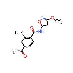 COC1=NOC(NC(=O)C2=C(C)CC(C(C)=O)C=C2)C1